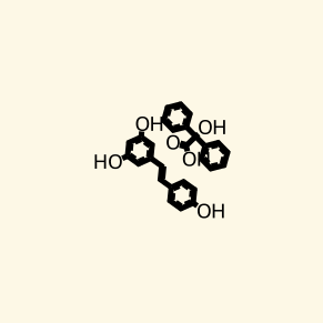 O=C(O)C(O)(c1ccccc1)c1ccccc1.Oc1ccc(C=Cc2cc(O)cc(O)c2)cc1